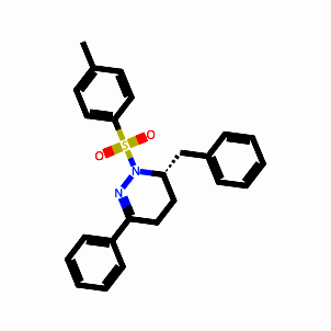 Cc1ccc(S(=O)(=O)N2N=C(c3ccccc3)CC[C@H]2Cc2ccccc2)cc1